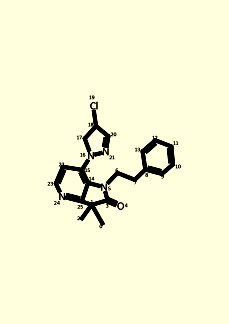 CC1(C)C(=O)N(CCc2ccccc2)c2c(N3CC(Cl)C=N3)ccnc21